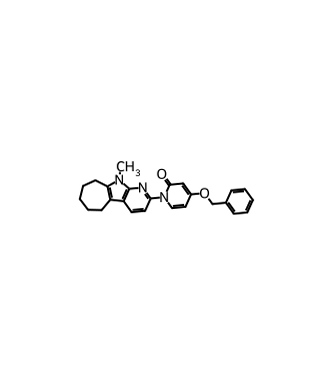 Cn1c2c(c3ccc(-n4ccc(OCc5ccccc5)cc4=O)nc31)CCCCC2